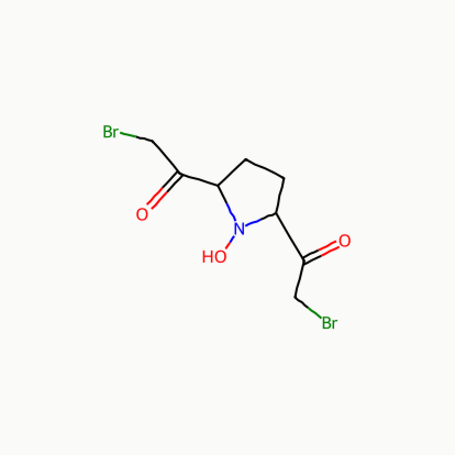 O=C(CBr)C1CCC(C(=O)CBr)N1O